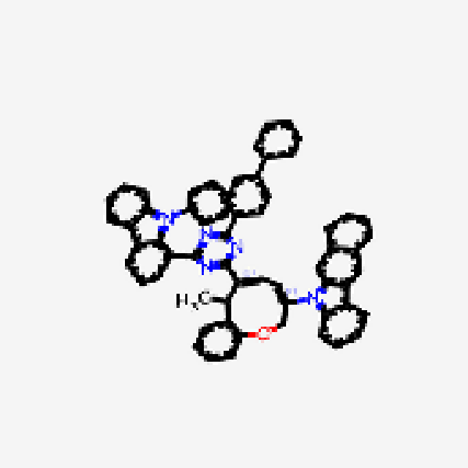 CC1/C(c2nc(-c3ccc(-c4ccccc4)cc3)nc(-c3cccc4c5ccccc5n(-c5ccccc5)c34)n2)=C\C=C(\n2c3ccccc3c3cc4ccccc4cc32)COc2ccccc21